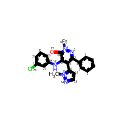 CCn1nc(-c2ccccc2)c(-c2ccnn2C)c(Nc2cccc(Cl)c2)c1=O